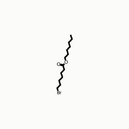 CCCCCCCOC(=O)CCCCCCBr